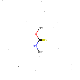 CCCNC(=S)OCCC